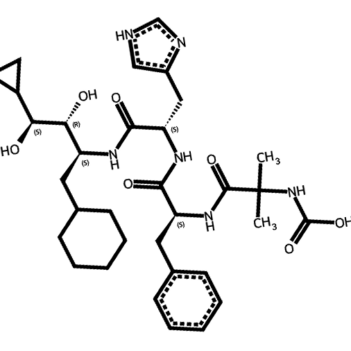 CC(C)(NC(=O)O)C(=O)N[C@@H](Cc1ccccc1)C(=O)N[C@@H](Cc1c[nH]cn1)C(=O)N[C@@H](CC1CCCCC1)[C@@H](O)[C@@H](O)C1CC1